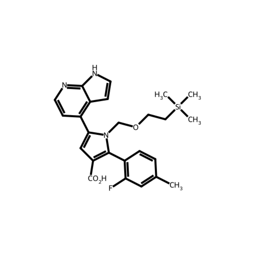 Cc1ccc(-c2c(C(=O)O)cc(-c3ccnc4[nH]ccc34)n2COCC[Si](C)(C)C)c(F)c1